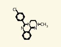 CN1CCN2C(c3ccc(Cl)cc3)=Nc3ccccc3C2=N1